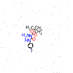 CC(C)(C)OC(=O)N(N)C(=O)Nc1ccc(I)cc1